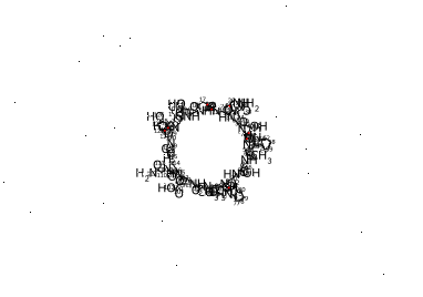 CCCC[C@H]1C(=O)N[C@@H](CC(=O)O)C(=O)N2CCC[C@H]2C(=O)N[C@@H](Cc2c[nH]cn2)C(=O)N[C@@H](CCC(N)=O)C(=O)N2C[C@H](O)C[C@H]2C(=O)N[C@@H]([C@@H](C)c2c[nH]c3ccccc23)C(=O)N[C@@H](CO)C(=O)N[C@@H](Cc2c[nH]c3ccccc23)C(=O)N(C)[C@@H](C)C(=O)N(C)[C@@H](C)C(=O)N[C@@H](CCC(=O)O)C(=O)N[C@H](C(=O)NCC(N)=O)CSCC(=O)N[C@@H](Cc2ccc(O)cc2)C(=O)N1C